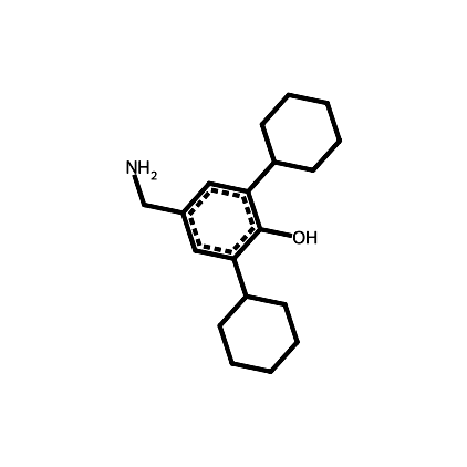 NCc1cc(C2CCCCC2)c(O)c(C2CCCCC2)c1